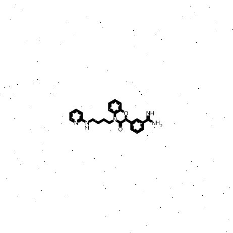 N=C(N)c1cccc(C2Oc3ccccc3N(CCCCNc3ccccn3)C2=O)c1